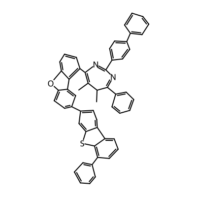 CC1=C(c2cccc3oc4ccc(-c5ccc6c(c5)sc5c(-c7ccccc7)cccc56)cc4c23)N=C(c2ccc(-c3ccccc3)cc2)N=C(c2ccccc2)C1C